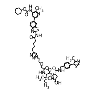 Cc1ncc(-c2ccc3nc(NC(=O)CCCCc4cn(CCOCC(=O)N[C@H](C(=O)N5C[C@H](O)C[C@H]5C(=O)NCc5ccc(-c6scnc6C)cc5)C(C)(C)C)nn4)sc3c2)cc1NC(=O)OC1CCCCC1